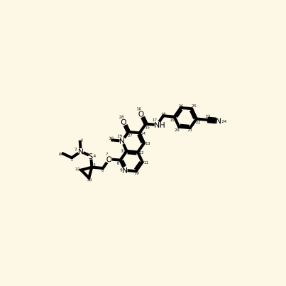 CCN(C)SC1(COc2nccc3cc(C(=O)NCc4ccc(C#N)cc4)c(=O)n(C)c23)CC1